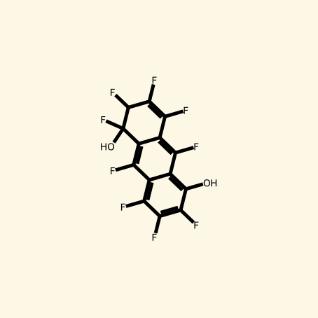 Oc1c(F)c(F)c(F)c2c(F)c3c(c(F)c12)C(F)=C(F)C(F)C3(O)F